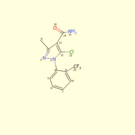 Cc1nn(-c2ccccc2C(F)(F)F)c(Cl)c1C(N)=O